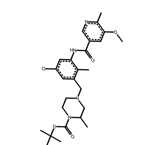 COc1cc(C(=O)Nc2cc(Cl)cc(CN3CCN(C(=O)OC(C)(C)C)C(C)C3)c2C)cnc1C